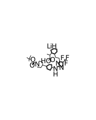 CC(C(=O)O)c1ccccc1CCc1nc(Nc2ccc(C3CCN(C(=O)OC(C)(C)C)CC3)cc2)ncc1C(F)(F)F.[LiH]